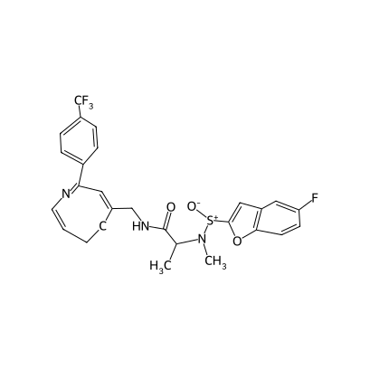 CC(C(=O)NC/C1=C/C(c2ccc(C(F)(F)F)cc2)=N\C=C/CC1)N(C)[S+]([O-])c1cc2cc(F)ccc2o1